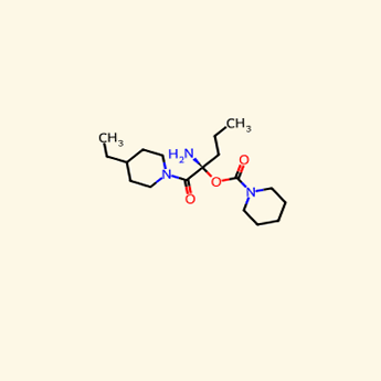 CCC[C@](N)(OC(=O)N1CCCCC1)C(=O)N1CCC(CC)CC1